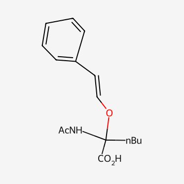 CCCCC(NC(C)=O)(O/C=C/c1ccccc1)C(=O)O